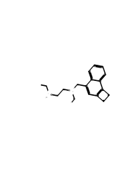 CCN(C)CCN(CC)Cc1cc2c(c3ccccc13)CC2